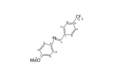 COc1ccc(N=Cc2ccc(C(F)(F)F)cc2)cc1